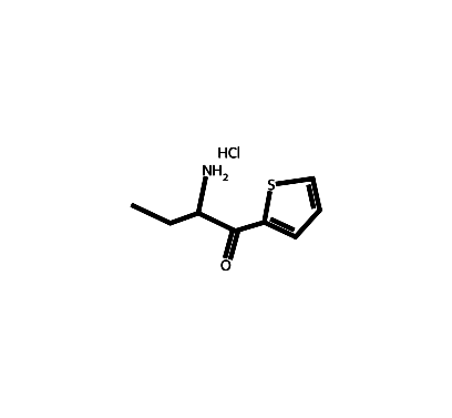 CCC(N)C(=O)c1cccs1.Cl